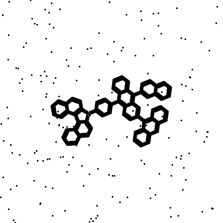 c1ccc2cc(-c3c4ccccc4c(-c4ccc(-n5c6ccc7ccccc7c6c6c7ccccc7ccc65)cc4)c4ccc(-c5c6ccccc6cc6ccccc56)cc34)ccc2c1